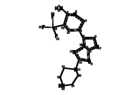 Nc1ncc(-c2cnc3sc(N4CCNCC4)nn23)cc1C(F)(F)F